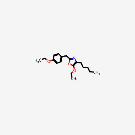 CCCCCc1nc(Cc2ccc(OCC)cc2)oc1OCC